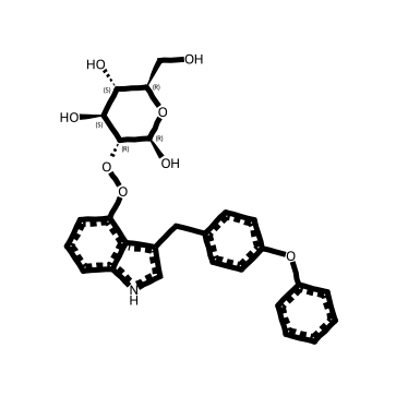 OC[C@H]1O[C@@H](O)[C@H](OOc2cccc3[nH]cc(Cc4ccc(Oc5ccccc5)cc4)c23)[C@@H](O)[C@@H]1O